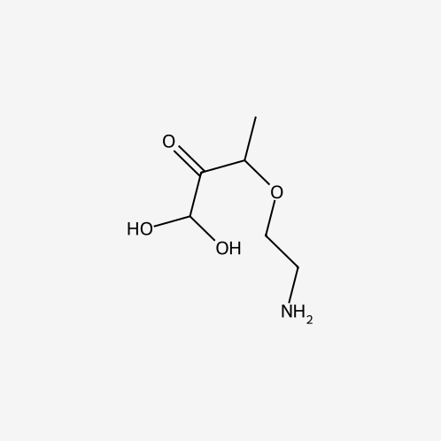 CC(OCCN)C(=O)C(O)O